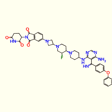 N=C(c1ccc(Oc2ccccc2)cc1)c1c(N)ncnc1NC1CCN([C@@H]2CCN(C3CN(c4ccc5c(c4)C(=O)N(C4CCC(=O)NC4=O)C5=O)C3)C[C@@H]2F)CC1